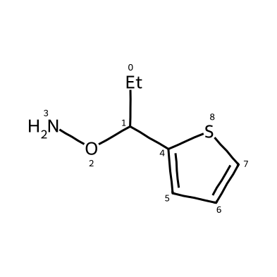 CCC(ON)c1cccs1